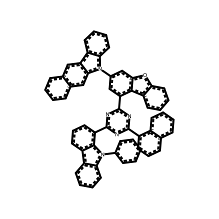 c1ccc(-n2c3ccccc3c3cccc(-c4nc(-c5cccc6ccccc56)nc(-c5cc(-n6c7ccccc7c7cc8ccccc8cc76)cc6oc7ccccc7c56)n4)c32)cc1